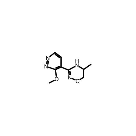 COc1nnccc1C1=NOCC(C)N1